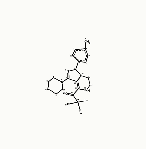 Cc1ccc(C2N=C(N3CCOCC3)C3=C(C(=O)C(F)(F)F)NCCN32)cc1